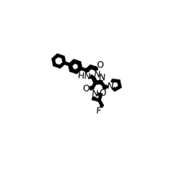 O=C(c1nn2c(=O)cc(-c3ccc(C4CCCCC4)cc3)[nH]c2c1C(=O)N1CC(CF)C1)N1CCCC1